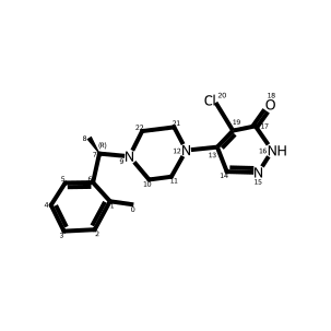 Cc1ccccc1[C@@H](C)N1CCN(c2cn[nH]c(=O)c2Cl)CC1